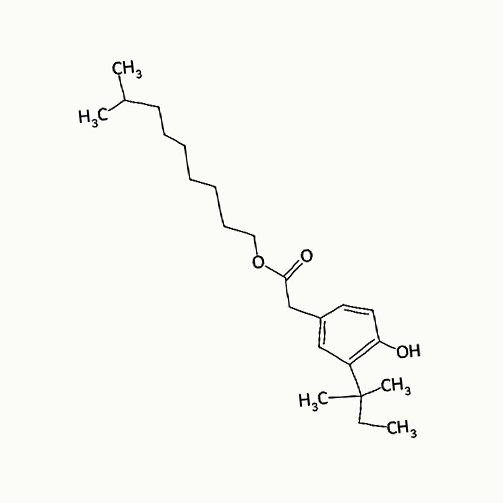 CCC(C)(C)c1cc(CC(=O)OCCCCCCCC(C)C)ccc1O